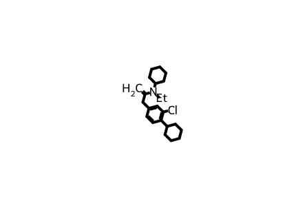 C=C(Cc1ccc(C2CCCCC2)c(Cl)c1)N(CC)C1CCCCC1